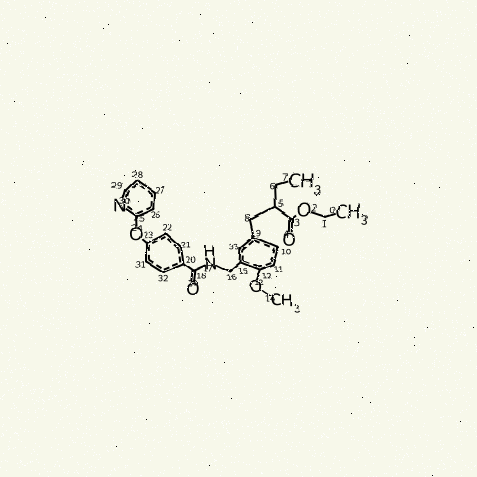 CCOC(=O)C(CC)Cc1ccc(OC)c(CNC(=O)c2ccc(Oc3ccccn3)cc2)c1